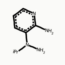 CC(C)N(N)c1cccnc1N